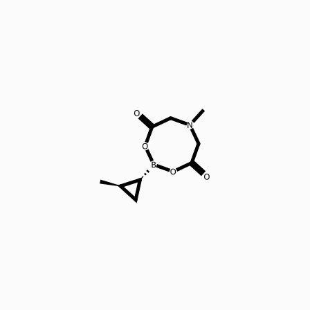 C[C@@H]1C[C@H]1B1OC(=O)CN(C)CC(=O)O1